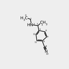 CCNC(C)c1ccc(C#N)cc1